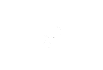 C.CCc1cc(-c2ccc(N)c(Cl)c2)ccc1N